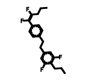 CCC/C(F)=C(/F)c1ccc(CCc2cc(F)c(CCC)c(F)c2)cc1